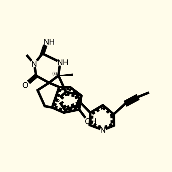 CC#Cc1cncc(-c2csc([C@@]3(C)NC(=N)N(C)C(=O)C34CCc3cc(O)ccc34)c2)c1